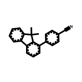 CC1(C)c2ccccc2-c2cccc(-c3ccc(C#N)cc3)c21